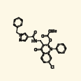 COC(=O)Oc1c(CNC(=O)c2cnn(Cc3ccccc3)c2)c(=O)c2ccc(Cl)cc2n1-c1ccccc1